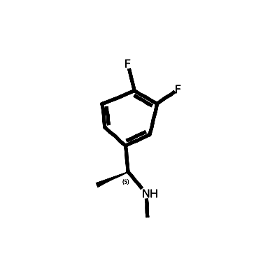 CN[C@@H](C)c1ccc(F)c(F)c1